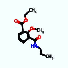 CCCNC(=O)c1cccc(C(=O)OCC)c1OC